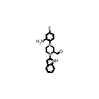 Nc1cc(F)ccc1N1CCN(c2cc3ccccc3[nH]2)C(C=O)C1